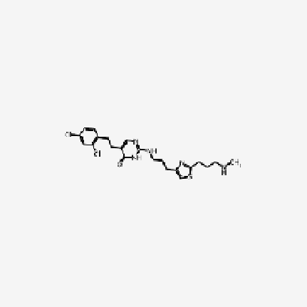 CNCCCc1nc(CCCNc2ncc(CCc3ccc(Cl)cc3Cl)c(=O)[nH]2)cs1